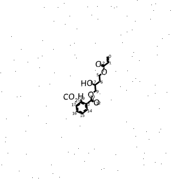 C=CC(=O)OCCC(O)COC(=O)c1ccccc1C(=O)O